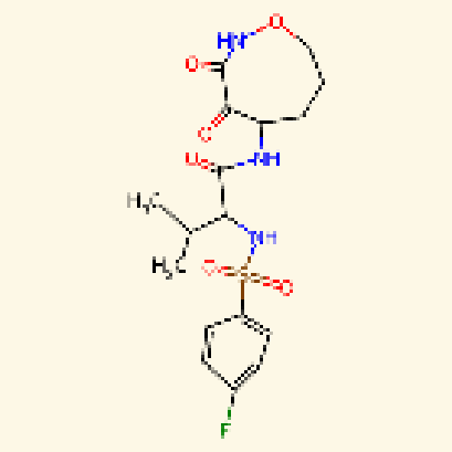 CC(C)C(NS(=O)(=O)c1ccc(F)cc1)C(=O)NC1CCCONC(=O)C1=O